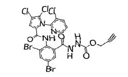 C#CCOC(=O)NNC(=O)c1cc(Br)cc(Br)c1NC(=O)c1cc(Cl)c(Cl)n1-c1ncccc1Cl